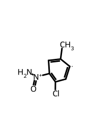 Cc1[c]cc(Cl)c([N+](N)=O)c1